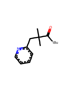 CC(C)(C)C(=O)C(C)(C)Cc1ccccn1